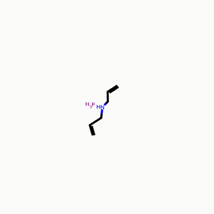 C=CCNCC=C.P